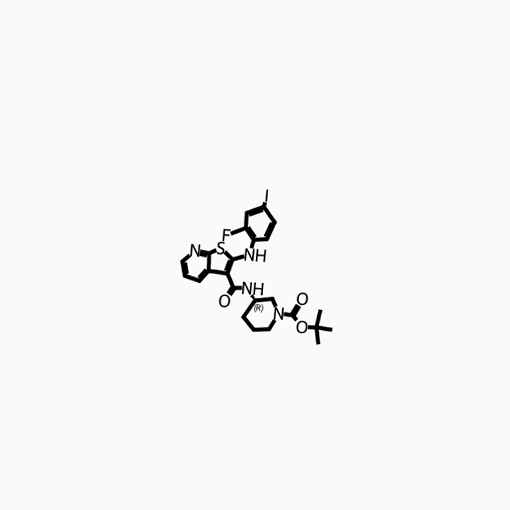 CC(C)(C)OC(=O)N1CCC[C@@H](NC(=O)c2c(Nc3ccc(I)cc3F)sc3ncccc23)C1